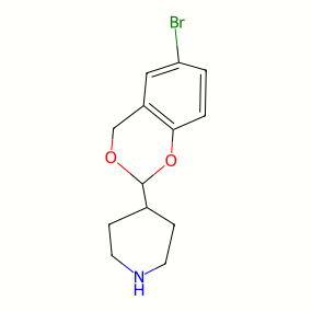 Brc1ccc2c(c1)COC(C1CCNCC1)O2